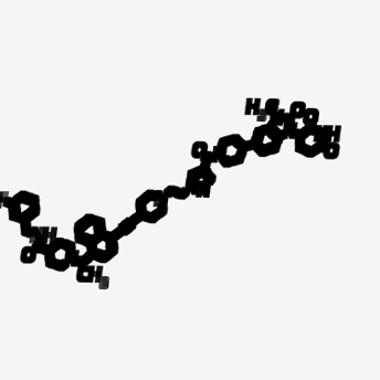 CC(c1ccc(C#CC2CCN(CCn3cc(C(=O)N4CCC(c5ccc6c(c5)n(C)c(=O)n6C5CCC(=O)NC5=O)CC4)cn3)CC2)c2ccccc12)N1CCC(C(=O)NCc2cccc(F)c2)CC1